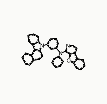 c1ccc(N(c2cccc(-n3c4ccccc4c4c5ccccc5ccc43)c2)c2nccc3c2oc2ccccc23)cc1